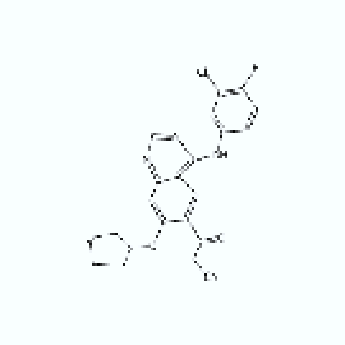 N#CCC(=O)c1cc2c(Nc3ccc(F)c(Cl)c3)ncnc2cc1OC1CCOC1